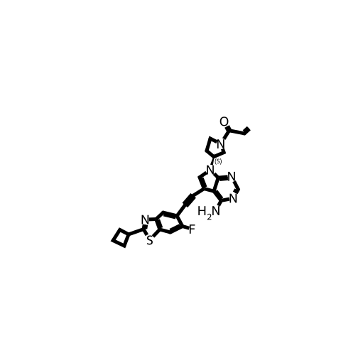 C=CC(=O)N1CC[C@H](n2cc(C#Cc3cc4nc(C5CCC5)sc4cc3F)c3c(N)ncnc32)C1